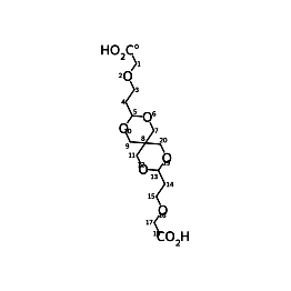 O=C(O)COCCC1OCC2(CO1)COC(CCOCC(=O)O)OC2